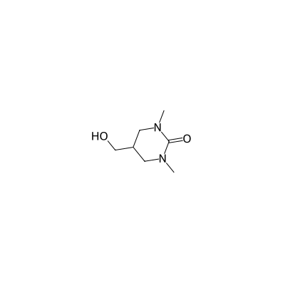 CN1CC(CO)CN(C)C1=O